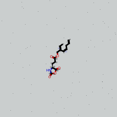 C=CC/C=C\C(=C/C)COC(=O)CC[C@@H]1NC(=O)OC1=O